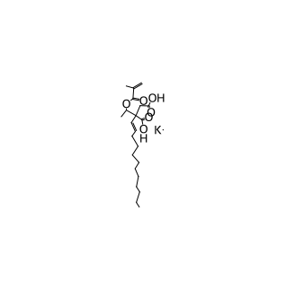 C=C(C)C(=O)OC(C)C(C=CCCCCCCCCCC)(CC(=O)O)C(=O)O.[K]